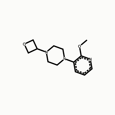 COc1ncccc1N1CCN(C2COC2)CC1